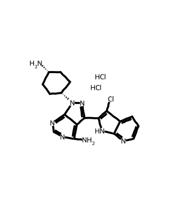 Cl.Cl.Nc1ncnc2c1c(-c1[nH]c3ncccc3c1Cl)nn2[C@H]1CC[C@@H](N)CC1